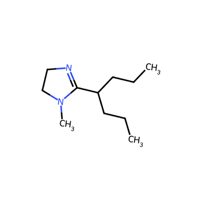 CCCC(CCC)C1=NCCN1C